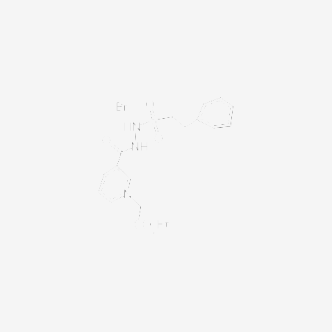 CCOC(=O)C[n+]1cccc(C(=O)NNS(=O)(=O)CCc2ccccc2)c1.[Br-]